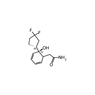 NC(=O)CC1C=CC=C[C@]1(O)[C@@H]1CCC(F)(F)C1